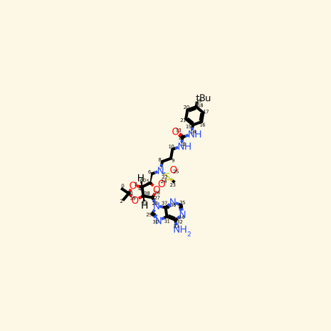 CC1(C)O[C@@H]2[C@@H](CN(CCCNC(=O)Nc3ccc(C(C)(C)C)cc3)S(C)(=O)=O)OC(n3cnc4c(N)ncnc43)[C@@H]2O1